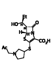 CC[C@H](O)[C@@H]1C(=O)N2C(C(=O)O)=C(SC3CCN(CC(C)=O)C3)S[C@H]12